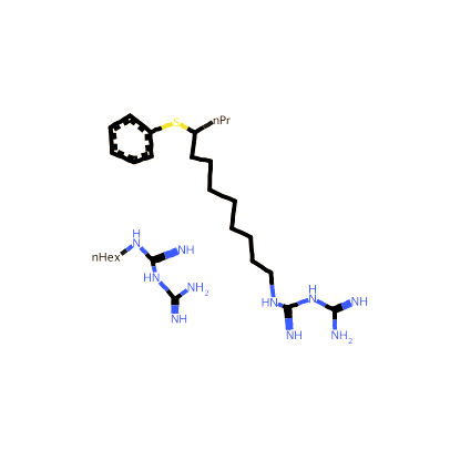 CCCC(CCCCCCCCNC(=N)NC(=N)N)Sc1ccccc1.CCCCCCNC(=N)NC(=N)N